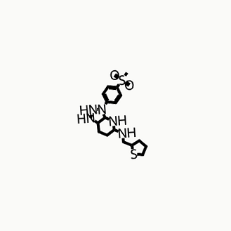 CS(=O)(=O)c1ccc(N2NNC3CCC(NCC4CCCS4)NC32)cc1